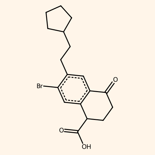 O=C1CCC(C(=O)O)c2cc(Br)c(CCC3CCCC3)cc21